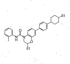 CCC1CCC(c2ccc(-c3ccc4c(c3)OC(CC)CN4C(=O)Nc3ccccc3C)cc2)CC1